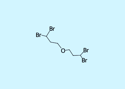 BrC(Br)CCOCCC(Br)Br